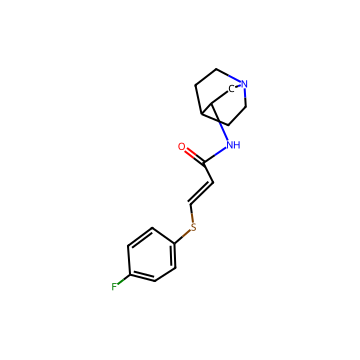 O=C(C=CSc1ccc(F)cc1)NC1CN2CCC1CC2